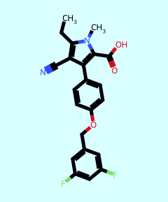 CCc1c(C#N)c(-c2ccc(OCc3cc(F)cc(F)c3)cc2)c(C(=O)O)n1C